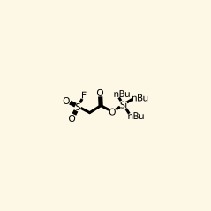 CCCC[Si](CCCC)(CCCC)OC(=O)CS(=O)(=O)F